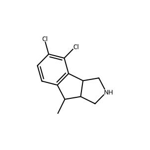 CC1c2ccc(Cl)c(Cl)c2C2CNCC12